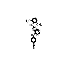 Cc1cccc(C)c1Nc1nc2c(Nc3ccc(C#N)cc3)ncnc2s1